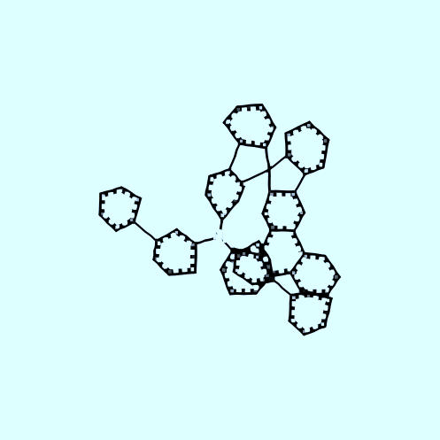 c1ccc(-c2ccc(N(c3cccc(-c4ccccc4)c3)c3ccc4c(c3)C3(c5ccccc5-4)c4ccccc4-c4cc5c6ccccc6c6ccccc6c5cc43)cc2)cc1